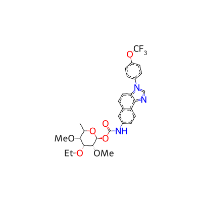 CCO[C@@H]1C(OC)C(C)O[C@@H](OC(=O)Nc2ccc3c(ccc4c3ncn4-c3ccc(OC(F)(F)F)cc3)c2)[C@@H]1OC